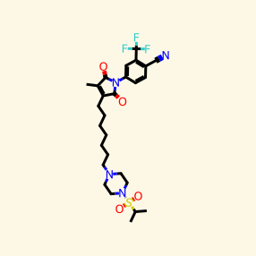 CC1=C(CCCCCCCN2CCN(S(=O)(=O)C(C)C)CC2)C(=O)N(c2ccc(C#N)c(C(F)(F)F)c2)C1=O